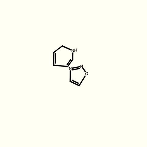 C1=CCNC=C1.c1conn1